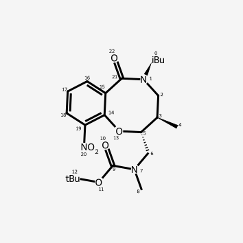 CC[C@H](C)N1C[C@@H](C)[C@H](CN(C)C(=O)OC(C)(C)C)Oc2c(cccc2[N+](=O)[O-])C1=O